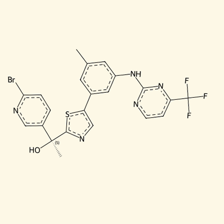 Cc1cc(Nc2nccc(C(F)(F)F)n2)cc(-c2cnc([C@@](C)(O)c3ccc(Br)nc3)s2)c1